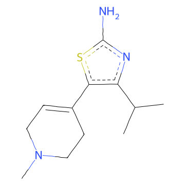 CC(C)c1nc(N)sc1C1=CCN(C)CC1